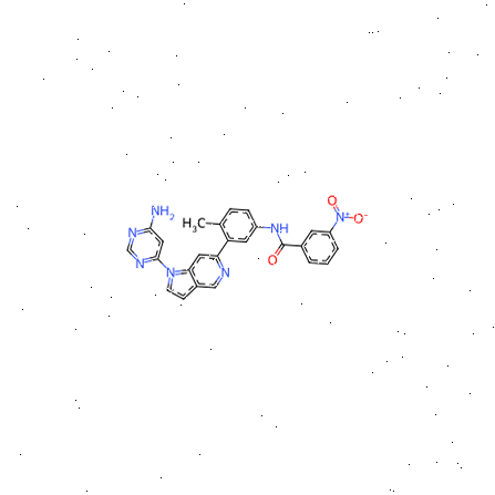 Cc1ccc(NC(=O)c2cccc([N+](=O)[O-])c2)cc1-c1cc2c(ccn2-c2cc(N)ncn2)cn1